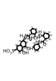 NC(=O)c1ccccc1O.O=C(Nc1ccccc1)c1ccccc1O.O=S(=O)(O)c1cc(O)c2c(O)cc(S(=O)(=O)O)cc2c1